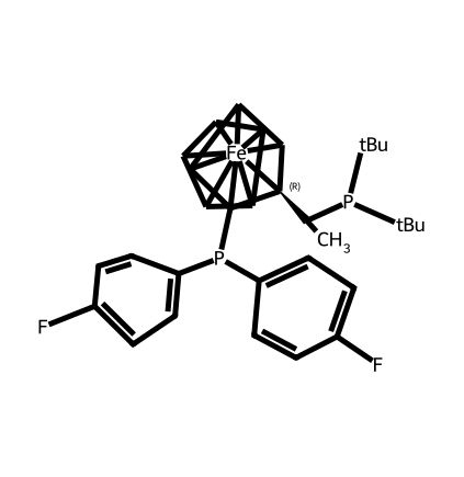 CC(P(C(C)(C)C)C(C)(C)C)[C@@]12[CH]3[CH]4[CH]5[C]1(P(c1ccc(F)cc1)c1ccc(F)cc1)[Fe]45321678[CH]2[CH]1[CH]6[CH]7[CH]28